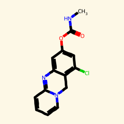 CNC(=O)Oc1cc(Cl)c2c(c1)N=C1C=CC=CN1C2